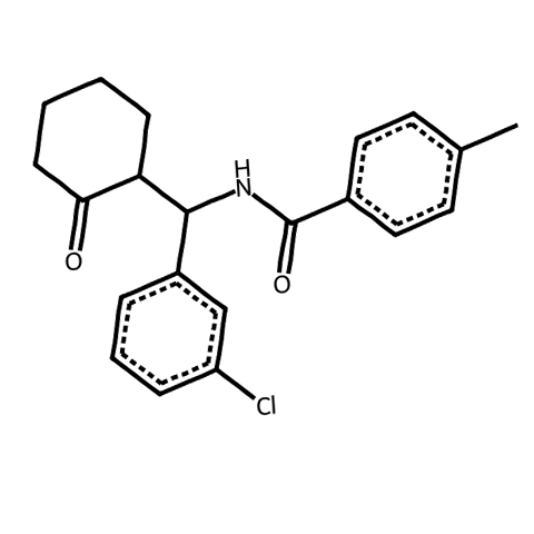 Cc1ccc(C(=O)NC(c2cccc(Cl)c2)C2CCCCC2=O)cc1